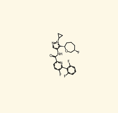 O=C(Nc1cnn(C2CC2)c1[C@H]1CCC[C@@H](F)CO1)c1ccc(F)c(-c2c(F)cccc2F)n1